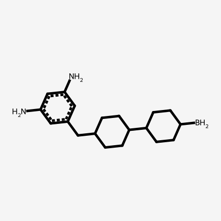 BC1CCC(C2CCC(Cc3cc(N)cc(N)c3)CC2)CC1